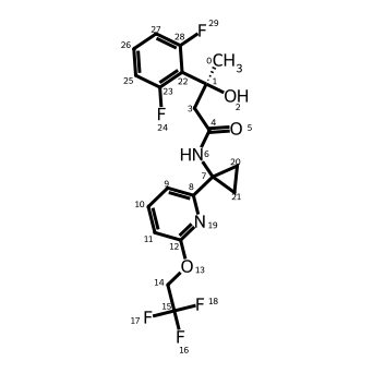 C[C@](O)(CC(=O)NC1(c2cccc(OCC(F)(F)F)n2)CC1)c1c(F)cccc1F